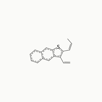 C=Cc1c(/C=C\C)sc2cc3ccccc3cc12